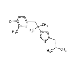 CC(C)Cc1cn(C(C)(C)Cc2ccc(=O)n(C)c2)cn1